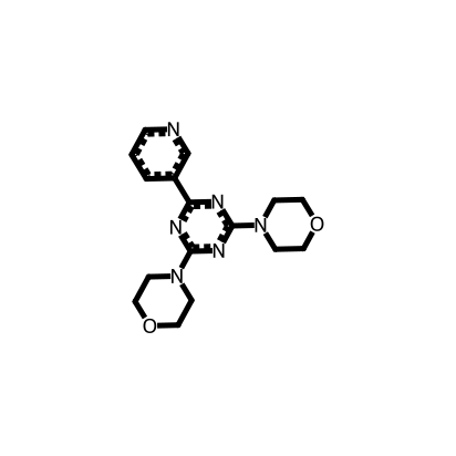 c1cncc(-c2nc(N3CCOCC3)nc(N3CCOCC3)n2)c1